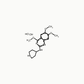 COc1cc2nc(NC3CCNCC3)nc(OC)c2cc1OC.Cl.Cl